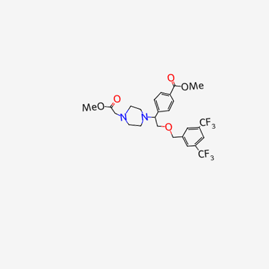 COC(=O)CN1CCN(C(COCc2cc(C(F)(F)F)cc(C(F)(F)F)c2)c2ccc(C(=O)OC)cc2)CC1